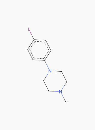 [CH2]N1CCN(c2ccc(I)cc2)CC1